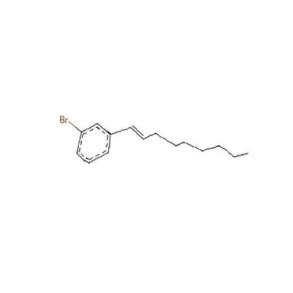 CCCCCCC/C=C/c1cccc(Br)c1